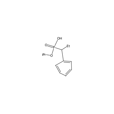 CCC(c1cc[c]cc1)P(=O)(O)OC(C)C